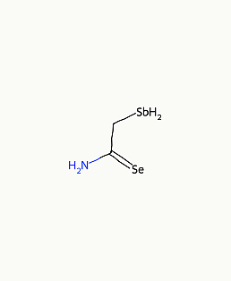 NC(=[Se])[CH2][SbH2]